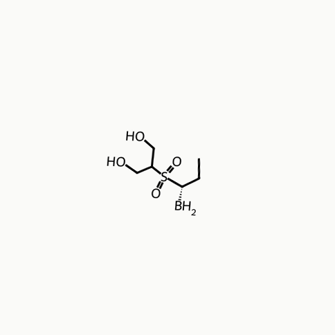 B[C@@H](CC)S(=O)(=O)C(CO)CO